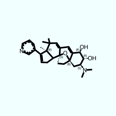 CN(C)[C@H]1C[C@@]23CC[C@@]4(O2)C(=CC(C)(C)[C@]2(C)C(c5cccnc5)=CCC42)C=C3[C@@H](O)[C@@H]1O